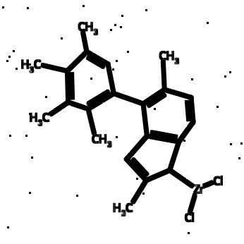 CC1=Cc2c(ccc(C)c2-c2cc(C)c(C)c(C)c2C)[CH]1[Zr]([Cl])[Cl]